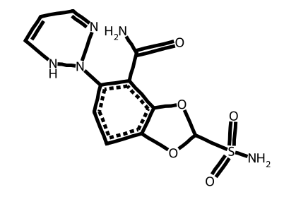 NC(=O)c1c(N2N=CC=CN2)ccc2c1OC(S(N)(=O)=O)O2